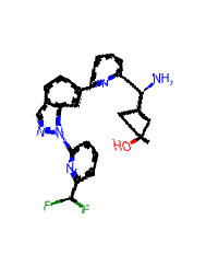 CC1(O)CC([C@H](N)c2cccc(-c3ccc4cnn(-c5cccc(C(F)F)n5)c4c3)n2)C1